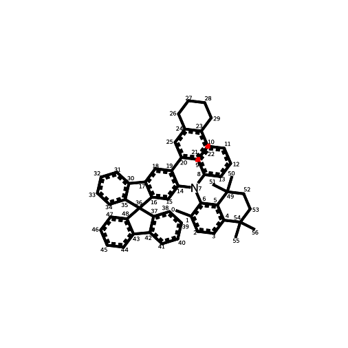 Cc1ccc2c(c1N(c1ccccc1)c1cc3c(cc1-c1ccc4c(c1)CCCC4)-c1ccccc1C31c3ccccc3-c3ccccc31)C(C)(C)CCC2(C)C